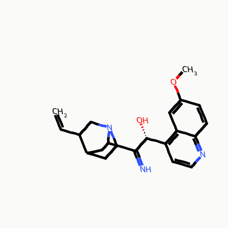 C=CC1CN2CCC1CC2C(=N)[C@H](O)c1ccnc2ccc(OC)cc12